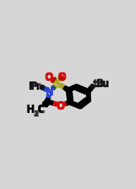 C=C1Oc2ccc(C(C)(C)C)cc2S(=O)(=O)N1C(C)C